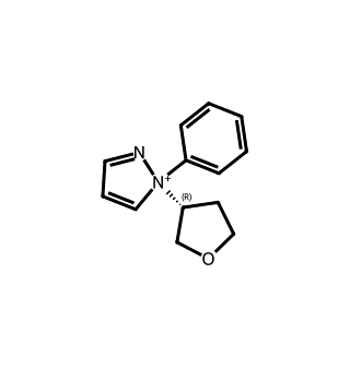 C1=C[N+](c2ccccc2)([C@@H]2CCOC2)N=C1